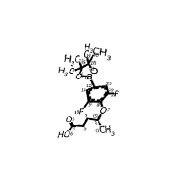 C[C@@H](CCC(=O)O)Oc1c(F)cc(B2OC(C)(C)C(C)(C)O2)cc1F